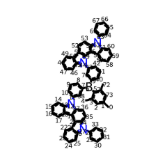 Cc1cc(C)c(B(c2cccc(-n3c4ccccc4c4c5c6ccccc6n(-c6ccccc6)c5ccc43)c2)c2cccc(-n3c4ccccc4c4ccc5c(c6ccccc6n5-c5ccccc5)c43)c2)c(C)c1